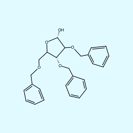 O[C@H]1OC(COCc2ccccc2)[C@@H](OCc2ccccc2)C1OCc1ccccc1